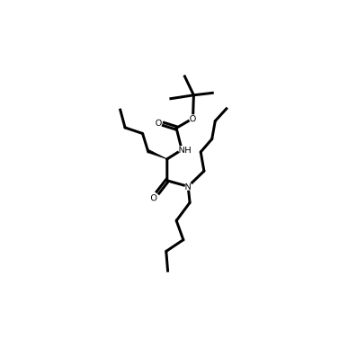 CCCCCN(CCCCC)C(=O)[C@@H](CCCC)NC(=O)OC(C)(C)C